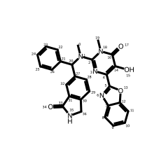 CN(c1nc(-c2nc3ccccc3o2)c(O)c(=O)n1C)C(c1ccccc1)c1ccc2c(c1)C(=O)NC2